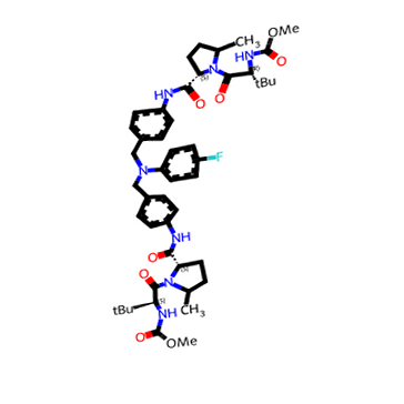 COC(=O)N[C@H](C(=O)N1C(C)CC[C@H]1C(=O)Nc1ccc(CN(Cc2ccc(NC(=O)[C@@H]3CCC(C)N3C(=O)[C@H](NC(=O)OC)C(C)(C)C)cc2)c2ccc(F)cc2)cc1)C(C)(C)C